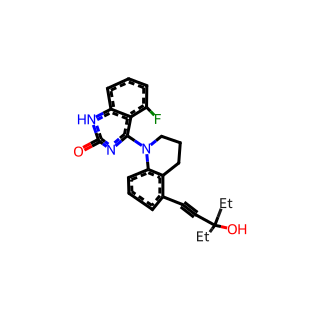 CCC(O)(C#Cc1cccc2c1CCCN2c1nc(=O)[nH]c2cccc(F)c12)CC